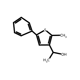 Cc1sc(-c2ccccc2)cc1C(C)O